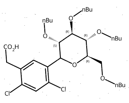 CCCCOC[C@H]1OC(c2cc(CC(=O)O)c(Cl)cc2Cl)[C@H](OCCCC)[C@@H](OCCCC)[C@@H]1OCCCC